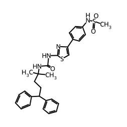 CC(C)(CCC(c1ccccc1)c1ccccc1)NC(=O)Nc1nc(-c2ccc(NS(C)(=O)=O)cc2)cs1